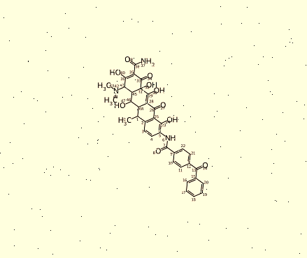 CC1c2ccc(NC(=O)c3ccc(C(=O)c4ccccc4)cc3)c(O)c2C(=O)C2=C(O)C3(O)C(=O)C(C(N)=O)=C(O)C(N(C)C)C3C(O)C21